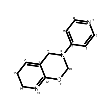 C1=C2CN(c3ccncc3)COC2=NCC1